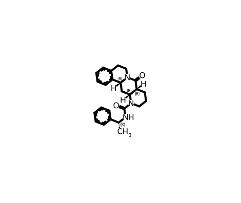 C[C@@H](NC(=O)N1CCC[C@H]2C(=O)N3CCc4ccccc4[C@H]3C[C@H]21)c1ccccc1